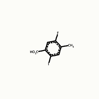 Cc1cc(I)c(C(=O)O)cc1F